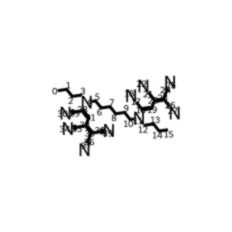 CCCCN(CCCCCCN(CCCC)C(C#N)=CC(C#N)=C(C#N)C#N)C(C#N)=CC(C#N)=C(C#N)C#N